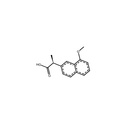 COc1cccc2ccc([C@H](C)C(=O)O)cc12